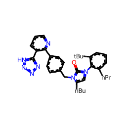 CCCCc1cn(-c2c(CCC)cccc2C(C)(C)C)c(=O)n1Cc1ccc(-c2ncccc2-c2nnn[nH]2)cc1